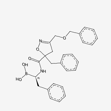 O=C(N[C@@H](Cc1ccccc1)B(O)O)C1(Cc2ccccc2)CC(COCc2ccccc2)=NO1